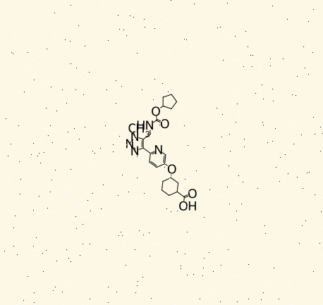 Cn1nnc(-c2ccc(O[C@H]3CCCC(C(=O)O)C3)cn2)c1CNC(=O)OC1CCCC1